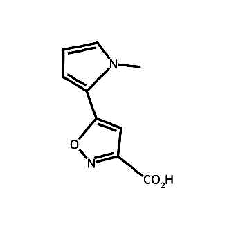 Cn1cccc1-c1cc(C(=O)O)no1